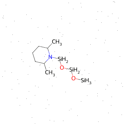 CC1CCCC(C)N1[SiH2]O[SiH2]O[SiH3]